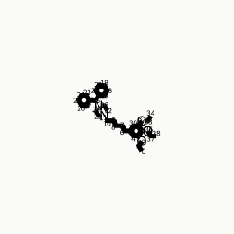 CCOc1cc(/C=C/C=C/CN2CCN(C(c3ccccc3)c3ccccc3)CC2)cc(OCC)c1OCC